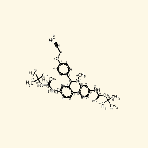 C#CCOc1ccc(C2c3cc(NC(=O)OC(C)(C)C)ccc3-c3ccc(NC(=O)OC(C)(C)C)cc3N2C)cc1